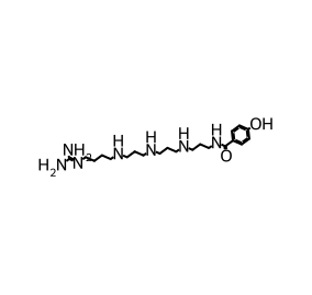 NC(N)=NCCCCNCCCNCCCNCCCNC(=O)c1ccc(O)cc1